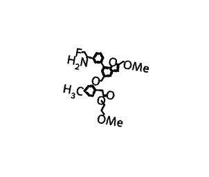 COCCCOC(=O)Cc1ccc(C)cc1OCc1cc(-c2cccc(C(N)CF)c2)c2oc(COC)cc2c1